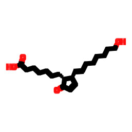 O=C(O)CCCCCC[C@H]1C(=O)C=C[C@@H]1C=CCCCCCCO